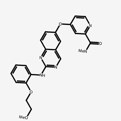 CNC(=O)c1cc(Oc2ccc3nc(Nc4ccccc4OCCOC)ncc3c2)ccn1